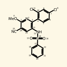 COc1nc(-c2ccc(Cl)cc2Cl)c(NS(=O)(=O)c2ccccc2)cc1C#N